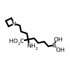 NC(CCCCB(O)O)(CCCN1CCC1)C(=O)O